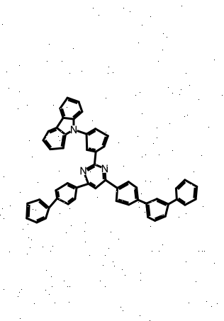 c1ccc(-c2ccc(-c3cc(-c4ccc(-c5cccc(-c6ccccc6)c5)cc4)nc(-c4cccc(-n5c6ccccc6c6ccccc65)c4)n3)cc2)cc1